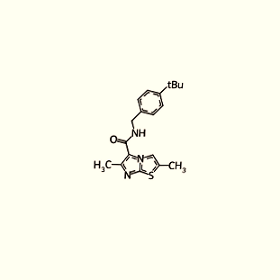 Cc1cn2c(C(=O)NCc3ccc(C(C)(C)C)cc3)c(C)nc2s1